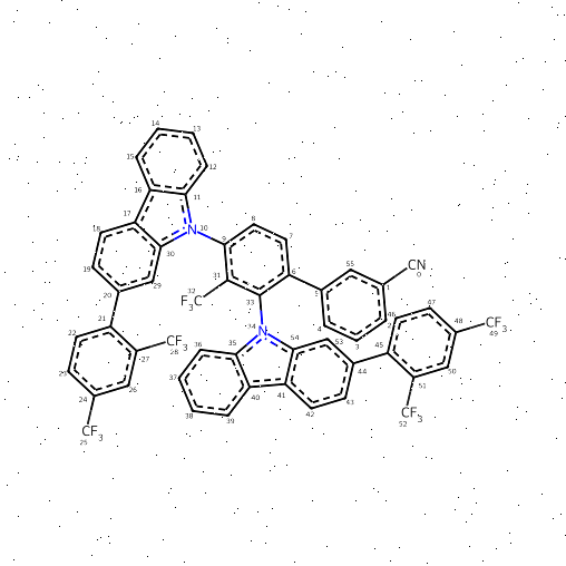 N#Cc1cccc(-c2ccc(-n3c4ccccc4c4ccc(-c5ccc(C(F)(F)F)cc5C(F)(F)F)cc43)c(C(F)(F)F)c2-n2c3ccccc3c3ccc(-c4ccc(C(F)(F)F)cc4C(F)(F)F)cc32)c1